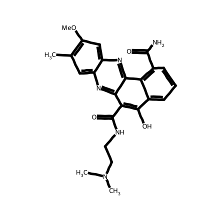 COc1cc2nc3c(nc2cc1C)c(C(=O)NCCN(C)C)c(O)c1cccc(C(N)=O)c13